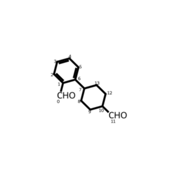 O=Cc1ccccc1C1CCC(C=O)CC1